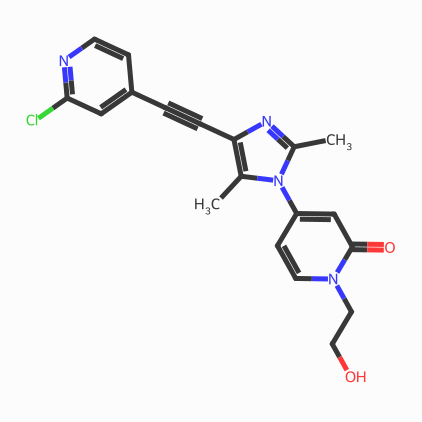 Cc1nc(C#Cc2ccnc(Cl)c2)c(C)n1-c1ccn(CCO)c(=O)c1